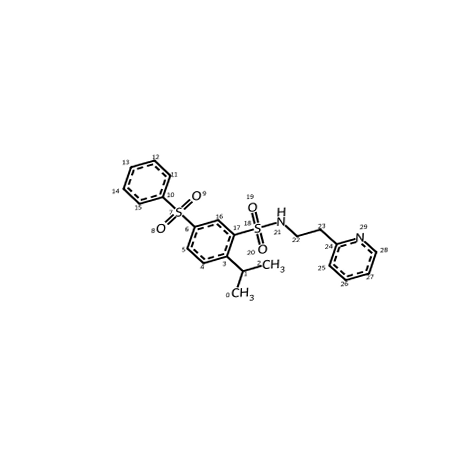 CC(C)c1ccc(S(=O)(=O)c2ccccc2)cc1S(=O)(=O)NCCc1ccccn1